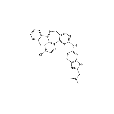 CN(C)Cc1nc2ccc(Nc3ncc4c(n3)-c3ccc(Cl)cc3C(c3ccccc3F)=NC4)cc2[nH]1